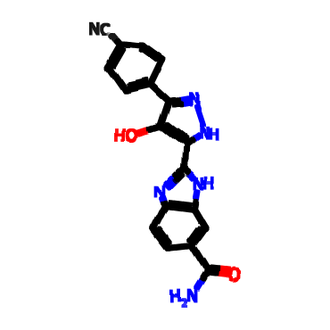 N#Cc1ccc(-c2n[nH]c(-c3nc4ccc(C(N)=O)cc4[nH]3)c2O)cc1